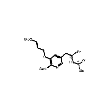 COCCCOc1cc(C[C@H](N[S@@+]([O-])C(C)(C)C)C(C)C)cnc1OC